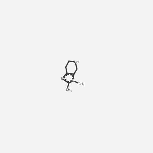 Cc1nc2c(n1C)CNCC2